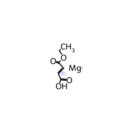 CCOC(=O)/C=C/C(=O)O.[Mg]